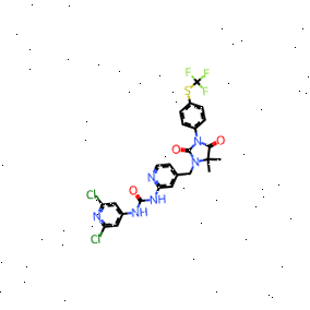 CC1(C)C(=O)N(c2ccc(SC(F)(F)F)cc2)C(=O)N1Cc1ccnc(NC(=O)Nc2cc(Cl)nc(Cl)c2)c1